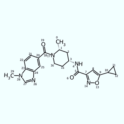 C[C@@H]1C[C@H](NC(=O)c2cc(C3CC3)on2)CCN1C(=O)c1ccc2c(c1)ncn2C